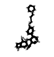 Cc1c(Nc2c(C#N)cncc2-c2ccc(OCCCN3CCCCC3)cc2)ccc2[nH]ccc12